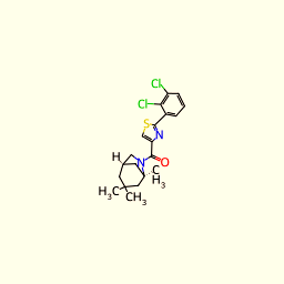 CC1(C)C[C@H]2CN(C(=O)c3csc(-c4cccc(Cl)c4Cl)n3)[C@](C)(C2)C1